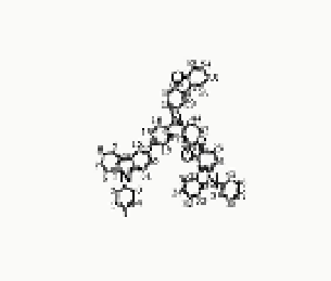 c1ccc(-n2c3ccccc3c3cc(-c4ccc5c(c4)c4c6oc7c(ccc8c7c7ccccc7n8-c7ccccc7)c6ccc4n5-c4ccc5oc6ccccc6c5c4)ccc32)cc1